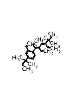 C=C/C(=C\C(C=C)=C(/C=C)c1ccc(C(C)(C)CC)cc1C=C)C(C)(C)CC